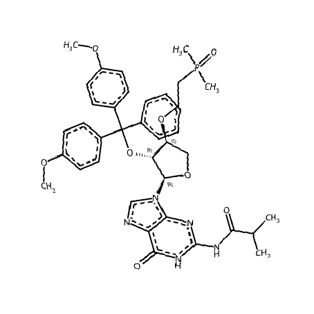 COc1ccc(C(O[C@@H]2[C@@H](OCCP(C)(C)=O)CO[C@H]2n2cnc3c(=O)[nH]c(NC(=O)C(C)C)nc32)(c2ccccc2)c2ccc(OC)cc2)cc1